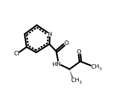 CC(=O)[C@H](C)NC(=O)c1cc(Cl)ccn1